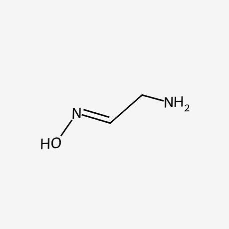 NCC=NO